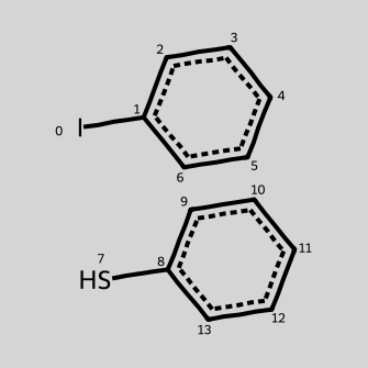 Ic1ccccc1.Sc1ccccc1